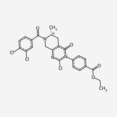 CCOC(=O)c1ccc(-n2c(Cl)nc3c(c2=O)C[C@@H](C)N(C(=O)c2ccc(Cl)c(Cl)c2)C3)cc1